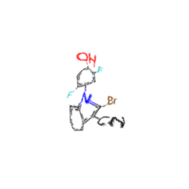 N#Cc1c(Br)n(-c2cc(F)c(O)cc2F)c2ccccc12